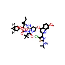 CCC1C[C@]1(NC(=O)[C@@H]1C[C@@H](Oc2cc(-c3nc(NC(C)C)sc3Cl)nc3cc(OC)ccc23)CN1C(=O)[C@@H](NC(=O)O[C@@H]1C[C@@H]2C[C@@H]2C1)C(C)(C)C)C(=O)O